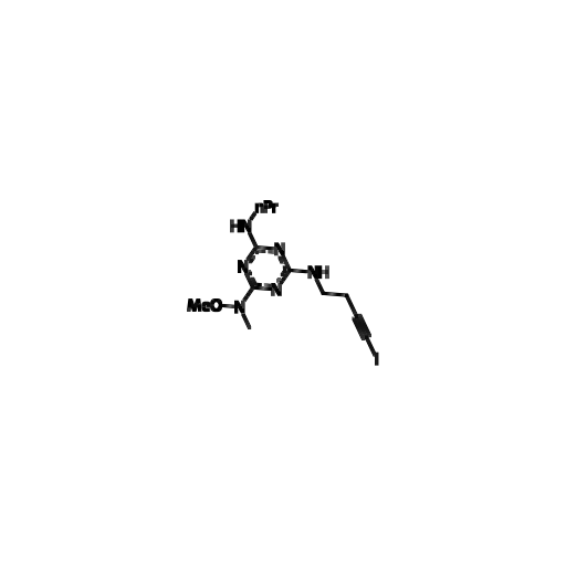 CCCNc1nc(NCCC#CI)nc(N(C)OC)n1